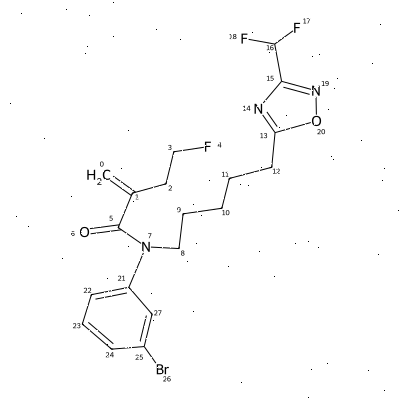 C=C(CCF)C(=O)N(CCCCCc1nc(C(F)F)no1)c1cccc(Br)c1